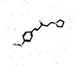 CCCCOc1ccc(C=CC(=O)CCN2CCCC2)cc1